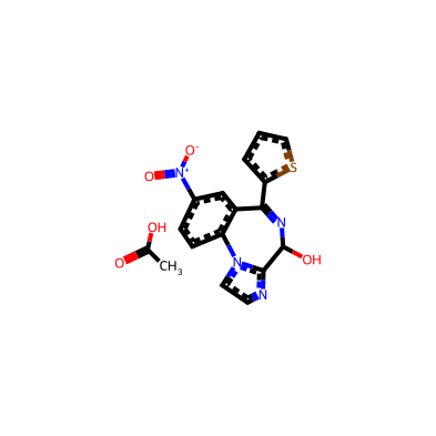 CC(=O)O.O=[N+]([O-])c1ccc2c(c1)C(c1cccs1)=NC(O)c1nccn1-2